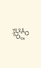 CC1(C)Oc2ccc(C#N)cc2C(C(=O)SN(F)c2ccccc2)=C1O